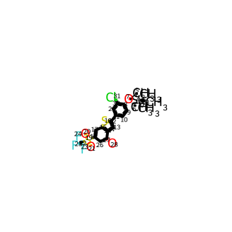 CC(C)(C)[Si](C)(C)Oc1ccc(-c2[c]c3c(s2)C=C(S(=O)(=O)C(F)(F)F)CC3=O)cc1Cl